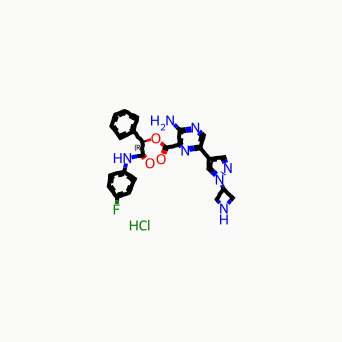 Cl.Nc1ncc(-c2cnn(C3CNC3)c2)nc1C(=O)O[C@@H](C(=O)Nc1ccc(F)cc1)c1ccccc1